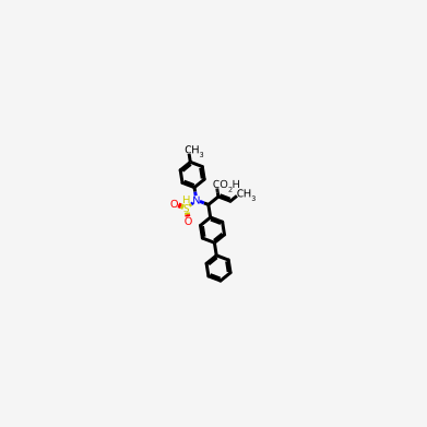 CC=C(C(=O)O)C(c1ccc(-c2ccccc2)cc1)N(c1ccc(C)cc1)[SH](=O)=O